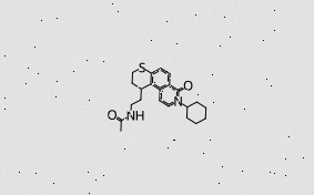 CC(=O)NCCC1CCSc2ccc3c(=O)n(C4CCCCC4)ccc3c21